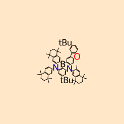 Cc1cc2c(cc1N1c3cc4oc5ccc(C(C)(C)C)cc5c4cc3B3c4cc5c(cc4N(c4ccc6c(c4)C(C)(C)CCC6(C)C)c4cc(C(C)(C)C)cc1c43)C(C)(C)CCC5(C)C)C(C)(C)CCC2(C)C